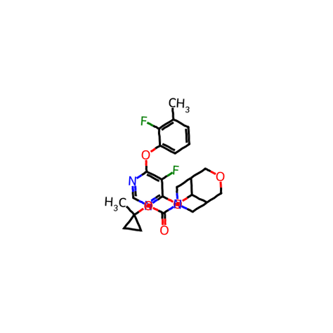 Cc1cccc(Oc2ncnc(OC3C4COCC3CN(C(=O)OC3(C)CC3)C4)c2F)c1F